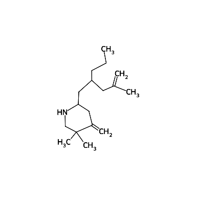 C=C(C)CC(CCC)CC1CC(=C)C(C)(C)CN1